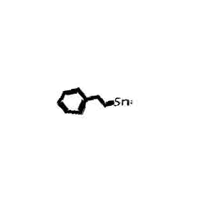 [Sn]=[CH]Cc1ccccc1